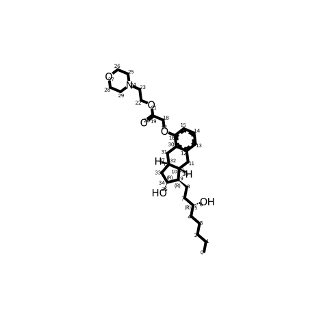 CCCCC[C@@H](O)CC[C@@H]1[C@H]2Cc3cccc(OCC(=O)OCCN4CCOCC4)c3C[C@H]2C[C@H]1O